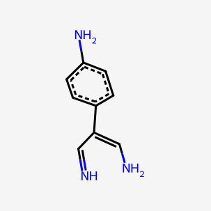 N=C/C(=C\N)c1ccc(N)cc1